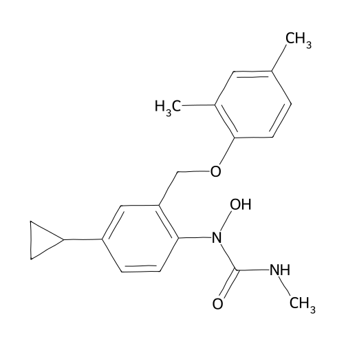 CNC(=O)N(O)c1ccc(C2CC2)cc1COc1ccc(C)cc1C